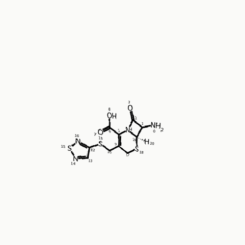 NC1C(=O)N2C(C(=O)O)=C(CSc3cnsn3)CS[C@H]12